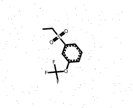 C[CH]S(=O)(=O)c1cccc(OC(F)(F)F)c1